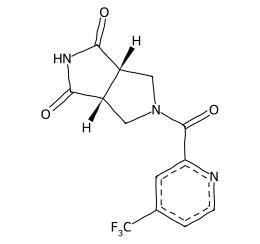 O=C1NC(=O)[C@@H]2CN(C(=O)c3cc(C(F)(F)F)ccn3)C[C@H]12